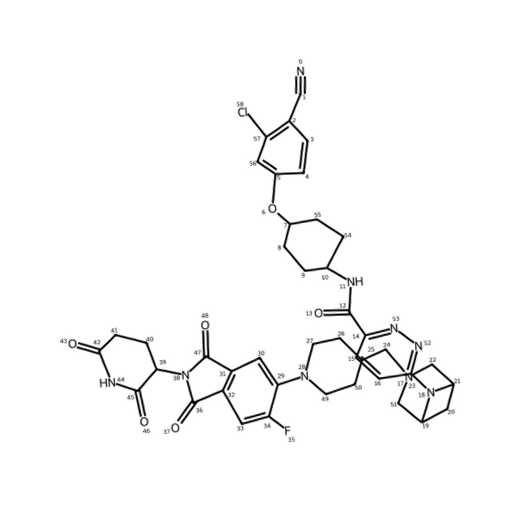 N#Cc1ccc(OC2CCC(NC(=O)c3ccc(N4C5CC4CN(CC4CCN(c6cc7c(cc6F)C(=O)N(C6CCC(=O)NC6=O)C7=O)CC4)C5)nn3)CC2)cc1Cl